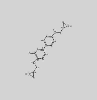 Cc1cc(-c2ccc(OCC3CO3)cc2)ccc1OCC1CO1